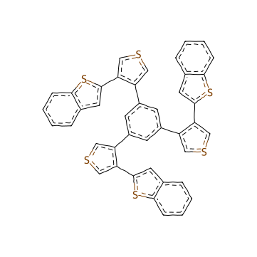 c1ccc2sc(-c3cscc3-c3cc(-c4cscc4-c4cc5ccccc5s4)cc(-c4cscc4-c4cc5ccccc5s4)c3)cc2c1